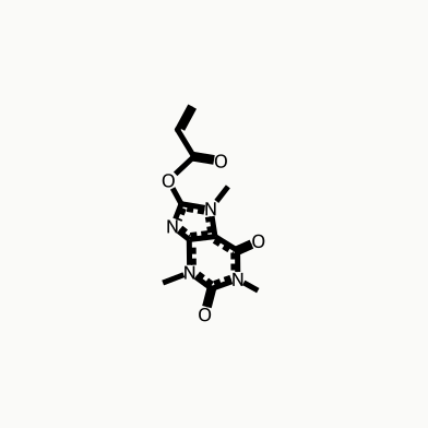 C=CC(=O)Oc1nc2c(c(=O)n(C)c(=O)n2C)n1C